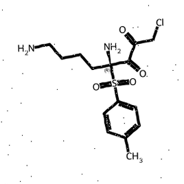 Cc1ccc(S(=O)(=O)[C@](N)(CCCCN)C(=O)C(=O)CCl)cc1